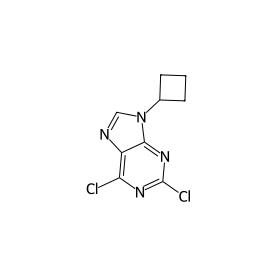 Clc1nc(Cl)c2ncn(C3CCC3)c2n1